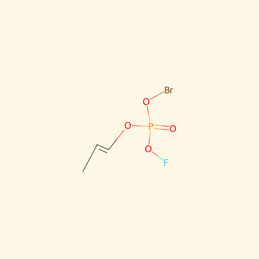 CC=COP(=O)(OF)OBr